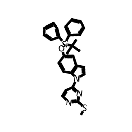 CSc1nccc(-n2ccc3cc(O[Si](c4ccccc4)(c4ccccc4)C(C)(C)C)ccc32)n1